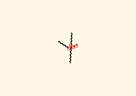 CCCCCCCCCC(OCCCCCCCC)=C(OCCCCCCCC)OCOC